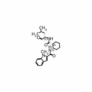 CC(C)C[C@@H](C=O)NC(=O)[C@@H]1CCCC[C@@H]1NC(=O)c1cc2ccccc2n1C